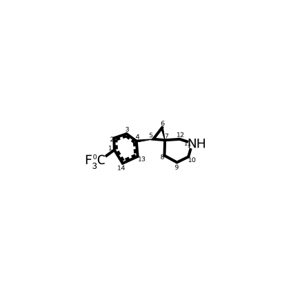 FC(F)(F)c1ccc([C@H]2C[C@@]23CCCNC3)cc1